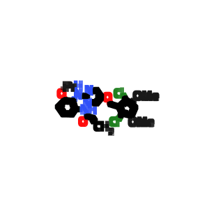 C=CC(=O)Nc1cccc(OC(C)C)c1Nc1ncc(OCc2c(Cl)c(OC)cc(OC)c2Cl)cn1